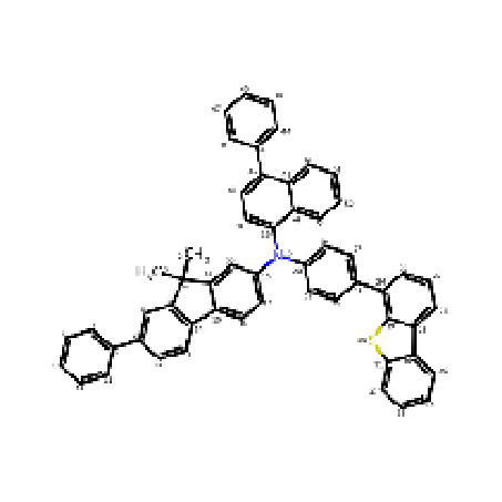 CC1(C)c2cc(-c3ccccc3)ccc2-c2ccc(N(c3ccc(-c4cccc5c4sc4ccccc45)cc3)c3ccc(-c4ccccc4)c4ccccc34)cc21